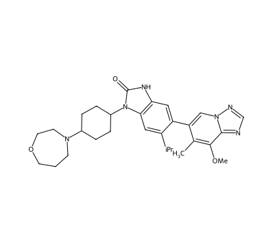 COc1c(C)c(-c2cc3[nH]c(=O)n(C4CCC(N5CCCOCC5)CC4)c3cc2C(C)C)cn2ncnc12